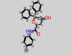 CC(C)(C)[Si](O[C@@H](CCO)C(=O)Nc1ccc(Br)cc1)(c1ccccc1)c1ccccc1